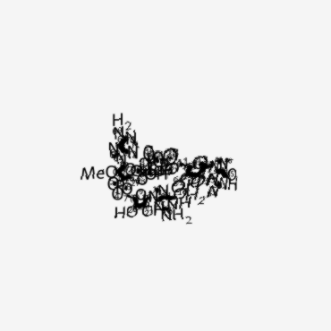 CO[C@@H]1[C@H](P(=O)([O-])OC[C@H]2O[C@@H](n3cnc4c(=O)[nH]c(N)nc43)[C@H](O)[C@@H]2O)[C@@H](COP(=O)(O)OP(=O)(O)OP(=O)(O)OC[C@H]2O[C@@H](n3c[n+](C)c4c(=O)[nH]c(N)nc43)[C@H](O)[C@@H]2CO)O[C@H]1n1cnc2c(N)ncnc21